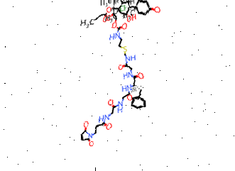 CCC(=O)O[C@]1(C(=O)COC(=O)NCCSCNC(=O)CNC(=O)[C@H](Cc2ccccc2)NC(=O)CNC(=O)CNC(=O)CCN2C(=O)C=CC2=O)[C@H](C)C[C@H]2[C@@H]3CCC4=CC(=O)C=C[C@]4(C)[C@@]3(Cl)[C@@H](O)C[C@@]21C